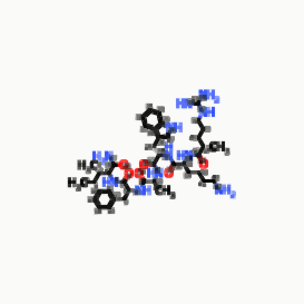 CC[C@H](C)[C@H](NC(=O)[C@H](Cc1ccccc1)NC(=O)[C@H](C)NC(=O)[C@H](Cc1c[nH]c2ccccc12)NC(=O)[C@H](CCCCN)NC(=O)[C@@H](C)CCCNC(=N)N)C(N)=O